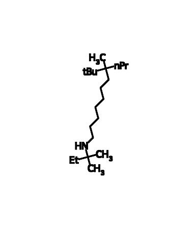 CCCC(C)(CCCCCCCNC(C)(C)CC)C(C)(C)C